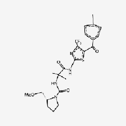 COC[C@H]1CCCN1C(=O)NC(C)(C)C(=O)Nc1nc(C(F)(F)F)c(C(=O)c2ccc(C)cc2)s1